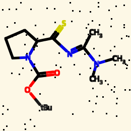 C/C(=N\C(=S)C1CCCN1C(=O)OC(C)(C)C)N(C)C